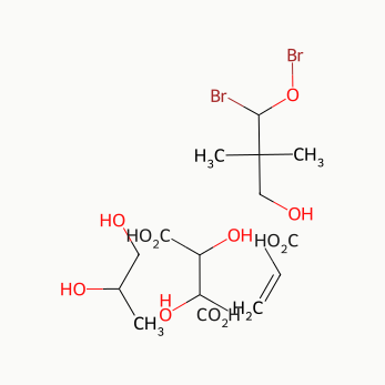 C=CC(=O)O.CC(C)(CO)C(Br)OBr.CC(O)CO.O=C(O)C(O)C(O)C(=O)O